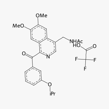 COc1cc2c(CNC(C)=O)cnc(C(=O)c3cccc(OC(C)C)c3)c2cc1OC.O=C(O)C(F)(F)F